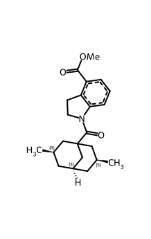 COC(=O)c1cccc2c1CCN2C(=O)C12C[C@H](C)C[C@H](C[C@H](C)C1)C2